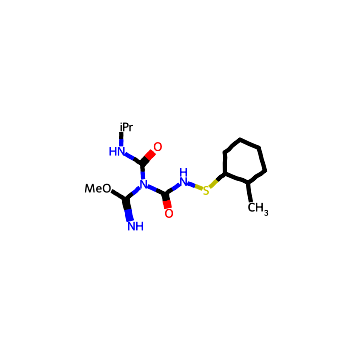 COC(=N)N(C(=O)NSC1CCCCC1C)C(=O)NC(C)C